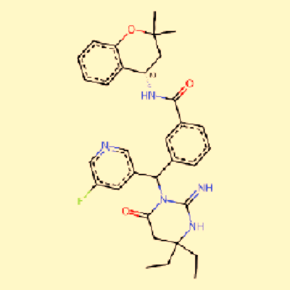 CCC1(CC)CC(=O)N(C(c2cncc(F)c2)c2cccc(C(=O)N[C@H]3CC(C)(C)Oc4ccccc43)c2)C(=N)N1